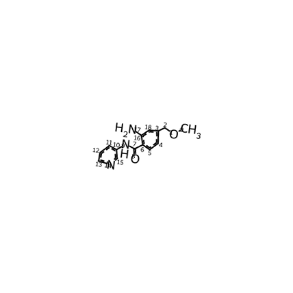 COCc1ccc(C(=O)Nc2cccnc2)c(N)c1